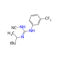 CC(/N=C(\NC#N)Nc1cccc(C(F)(F)F)c1)C(C)(C)C